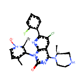 Cc1cc[n+]([O-])c(C(C)C)c1-n1c(=O)nc(N2CCNC[C@@H]2C)c2cc(Cl)c(-c3ccccc3F)nc21